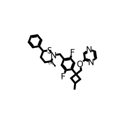 CC1CC(COc2cnccn2)(c2cc(F)c(CN3SC(c4ccccc4)CC[C@@H]3C)cc2F)C1